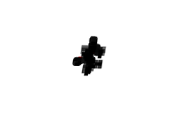 O=C(N[C@H](c1cn2nc(C[C@H]3C[C@@H](C(F)(F)F)CNC3=O)c(C3CCOCC3)nc2n1)C1CCC(F)(F)CC1)OCc1ccccc1